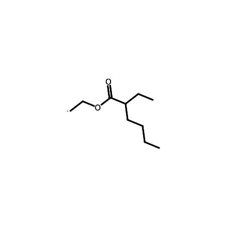 [CH2]COC(=O)C(CC)CCCC